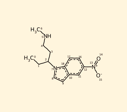 CCC(CCNC)n1ccc2cc([N+](=O)[O-])ccc21